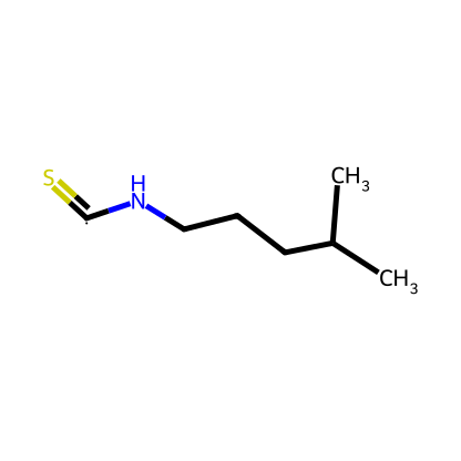 CC(C)CCCN[C]=S